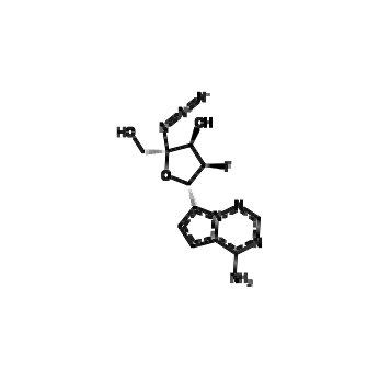 [N-]=[N+]=N[C@]1(CO)O[C@@H](c2ccc3c(N)ncnn23)[C@H](F)[C@@H]1O